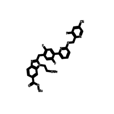 COCCn1c(Cc2cc(F)c(-c3cccc(OCc4ncc(C#N)cc4F)n3)cc2F)nc2ccc(C(=O)OC(C)(C)C)cc21